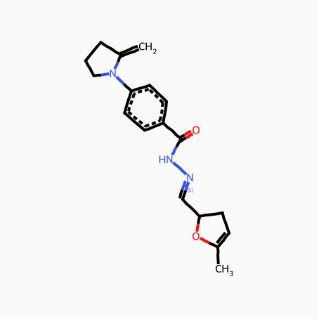 C=C1CCCN1c1ccc(C(=O)N/N=C/C2CC=C(C)O2)cc1